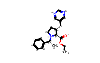 CCOC(=O)[C@H]1[C@@H](Cc2cncnc2)CCN1[C@H](C)c1ccccc1